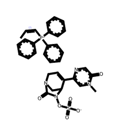 C/C=C\[P+](c1ccccc1)(c1ccccc1)c1ccccc1.Cn1cc(C2=CCN3CC2N(OS(=O)(=O)[O-])C3=O)ncc1=O